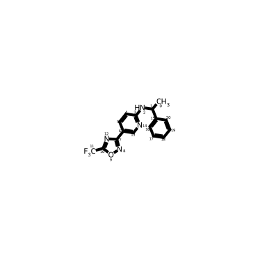 CC(Nc1ccc(-c2noc(C(F)(F)F)n2)cn1)c1ccccc1